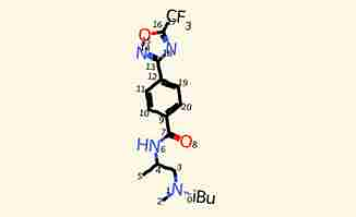 CC[C@@H](C)N(C)CC(C)NC(=O)c1ccc(-c2noc(C(F)(F)F)n2)cc1